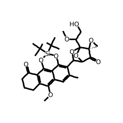 COc1c2c(c3c4c(c(C5OC6(C(CO)OC)OC5C(=O)[C@@]65CO5)c(C)cc14)O[Si](C(C)(C)C)(C(C)(C)C)O3)C(=O)CCC2